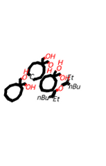 CCCCC(=COC=C(CC)CCCC)CC.OCC1(CO)CCCCCCCCC1.OCC1(CO)CCCCCCCCC1.OCC1(CO)CCCCCCCCC1